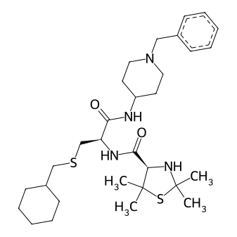 CC1(C)N[C@H](C(=O)N[C@@H](CSCC2CCCCC2)C(=O)NC2CCN(Cc3ccccc3)CC2)C(C)(C)S1